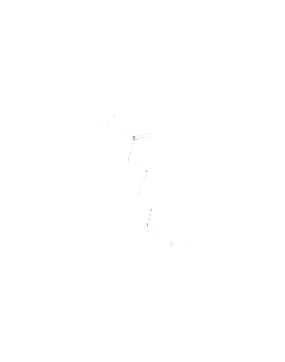 CCCCCCCCCCCCC(=O)CCCCC